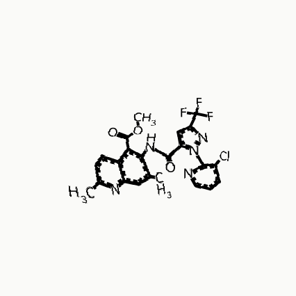 COC(=O)c1c(NC(=O)c2cc(C(F)(F)F)nn2-c2ncccc2Cl)c(C)cc2nc(C)ccc12